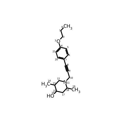 CCCOc1ccc(C#CCN2CC(C)C(O)CC2C)cc1